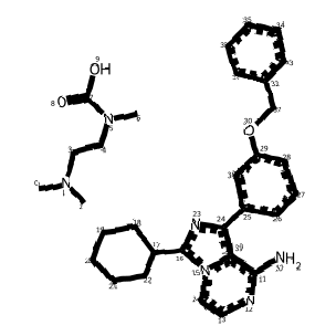 CN(C)CCN(C)C(=O)O.Nc1nccn2c(C3CCCCC3)nc(-c3cccc(OCc4ccccc4)c3)c12